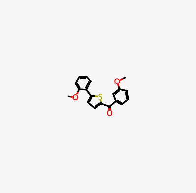 COc1cccc(C(=O)c2ccc(-c3ccccc3OC)s2)c1